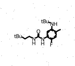 Cc1cc(F)c(NC(=O)NCCC(C)(C)C)cc1NC(C)(C)C